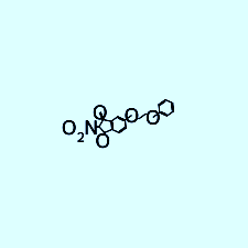 O=C1c2ccc(OCCOc3ccccc3)cc2C(=O)C1[N+](=O)[O-]